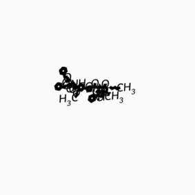 CCCCC[C@@H](C(=O)NCNC(=O)c1ccc(-c2ccc(C(=O)N[C@@H](CC(=O)OCc3ccccc3)C(=O)OCc3ccccc3)c(OCC)c2)o1)[C@@H](CC)N(C=O)OC(=O)Cc1ccccc1